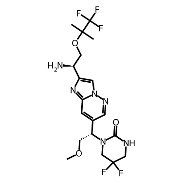 COC[C@H](c1cnn2cc([C@@H](N)COC(C)(C)C(F)(F)F)nc2c1)N1CC(F)(F)CNC1=O